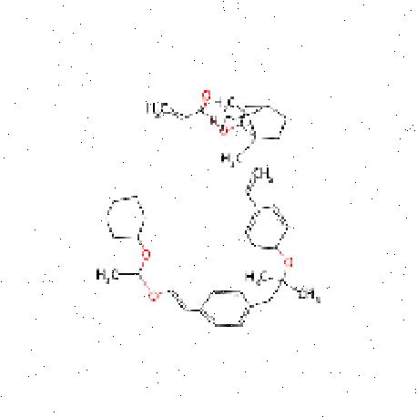 C=CC(=O)OC1CC2CCC1(C)C2(C)C.C=Cc1ccc(OC(C)(C)Cc2ccc(C=COC(C)OC3CCCCC3)cc2)cc1